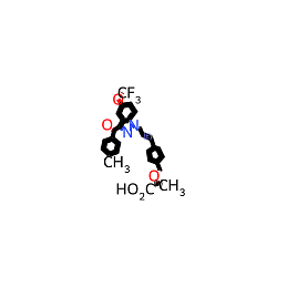 Cc1ccc(C(=O)c2nn(C/C=C/c3ccc(CO[C@H](C)C(=O)O)cc3)c3ccc(OC(F)(F)F)cc23)cc1